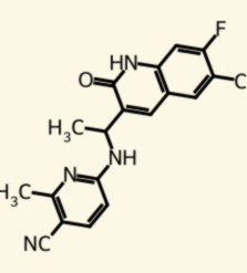 Cc1nc(NC(C)c2cc3cc(Cl)c(F)cc3[nH]c2=O)ccc1C#N